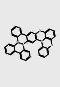 c1ccc2c(c1)Oc1cccc3c1B2c1cc2c(cc1O3)-c1ccccc1B1c3ccccc3-c3ccccc3N12